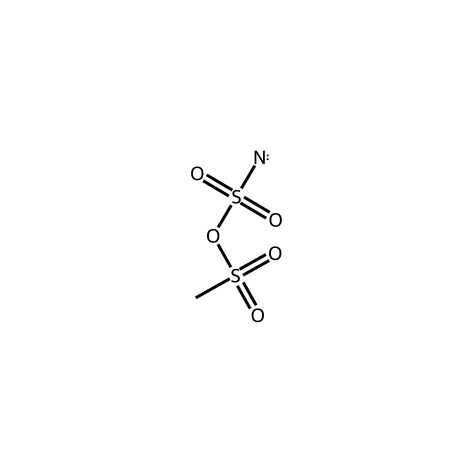 CS(=O)(=O)OS([N])(=O)=O